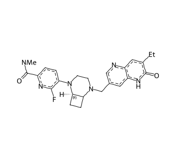 CCc1cc2ncc(CN3CCN(c4ccc(C(=O)NC)nc4F)[C@@H]4CCC43)cc2[nH]c1=O